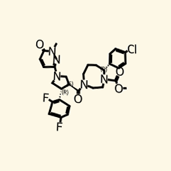 COC(=O)N1CCN(C(=O)[C@@H]2CN(c3ccc(=O)n(C)n3)C[C@H]2c2ccc(F)cc2F)CCC[C@@H]1c1ccc(Cl)cc1